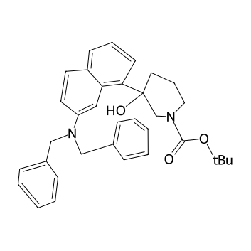 CC(C)(C)OC(=O)N1CCCC(O)(c2cccc3ccc(N(Cc4ccccc4)Cc4ccccc4)cc23)C1